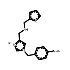 O=C([O-])c1ccc(Cn2cnc(CNCc3ccco3)c2)cc1.[K+]